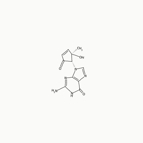 C[C@@]1(O)C=CC(=O)[C@H]1n1cnc2c(=O)[nH]c(N)nc21